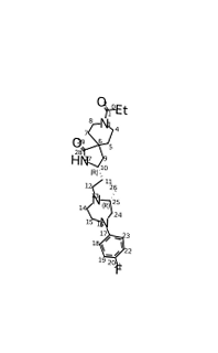 CCC(=O)N1CCC2(CC1)C[C@H](CCN1CCN(c3ccc(F)cc3)C[C@H]1C)NC2=O